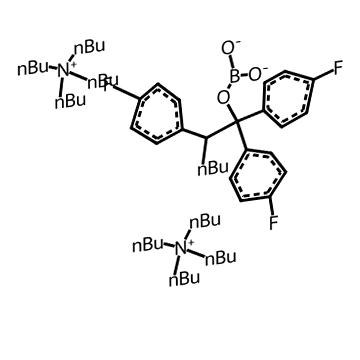 CCCCC(c1ccc(F)cc1)C(OB([O-])[O-])(c1ccc(F)cc1)c1ccc(F)cc1.CCCC[N+](CCCC)(CCCC)CCCC.CCCC[N+](CCCC)(CCCC)CCCC